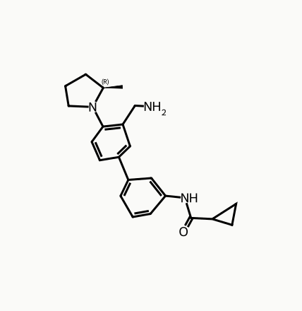 C[C@@H]1CCCN1c1ccc(-c2cccc(NC(=O)C3CC3)c2)cc1CN